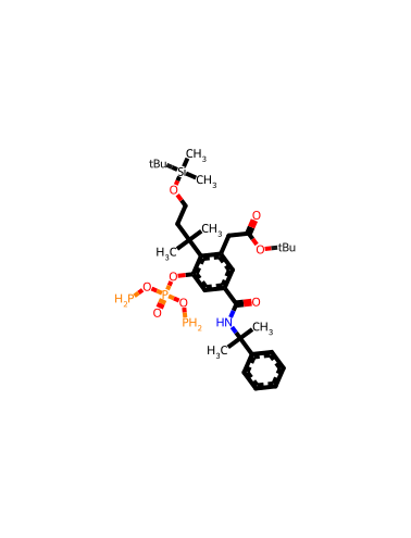 CC(C)(C)OC(=O)Cc1cc(C(=O)NC(C)(C)c2ccccc2)cc(OP(=O)(OP)OP)c1C(C)(C)CCO[Si](C)(C)C(C)(C)C